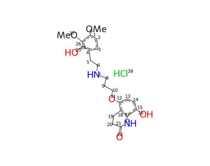 COc1ccc(CCNCCCOc2ccc(O)c3c2CCC(=O)N3)c(O)c1OC.Cl